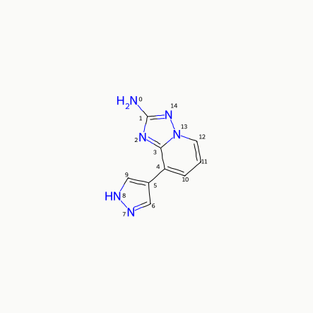 Nc1nc2c(-c3cn[nH]c3)cccn2n1